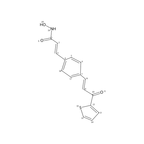 O=C(C=Cc1ccc(C=CC(=O)c2cccs2)cc1)NO